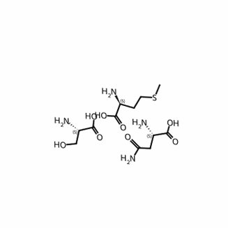 CSCC[C@H](N)C(=O)O.NC(=O)C[C@H](N)C(=O)O.N[C@@H](CO)C(=O)O